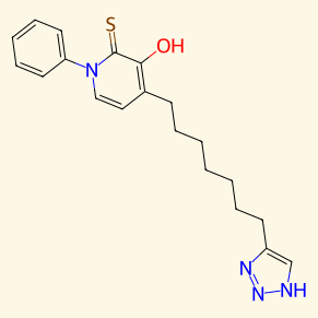 Oc1c(CCCCCCCc2c[nH]nn2)ccn(-c2ccccc2)c1=S